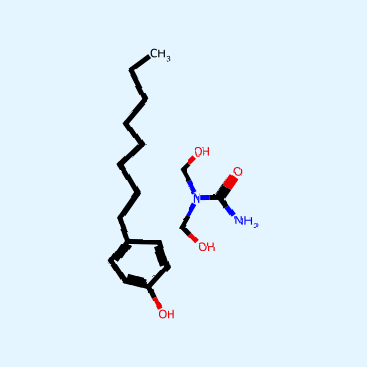 CCCCCCCCc1ccc(O)cc1.NC(=O)N(CO)CO